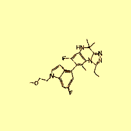 CCc1nnc2n1-c1c(cc(F)c(-c3cc(F)cc4c3ccn4CCOC)c1C)NC2(C)C